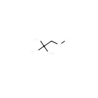 CC(C)(C)CO[O]